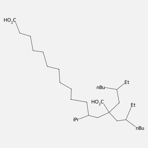 CCCCC(CC)CC(CC(CC)CCCC)(CC(CCCCCCCCCCC(=O)O)C(C)C)C(=O)O